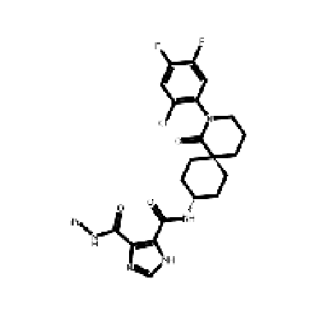 CC(C)NC(=O)c1nc[nH]c1C(=O)N[C@H]1CC[C@@]2(CCCN(c3cc(F)c(F)cc3Cl)C2=O)CC1